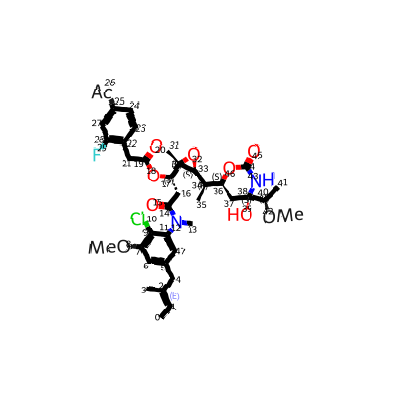 C/C=C(\C)Cc1cc(OC)c(Cl)c(N(C)C(=O)C[C@H](OC(=O)Cc2ccc(C(C)=O)cc2F)[C@]2(C)O[C@H]2[C@H](C)[C@@H]2C[C@](O)([C@@H](C)OC)NC(=O)O2)c1